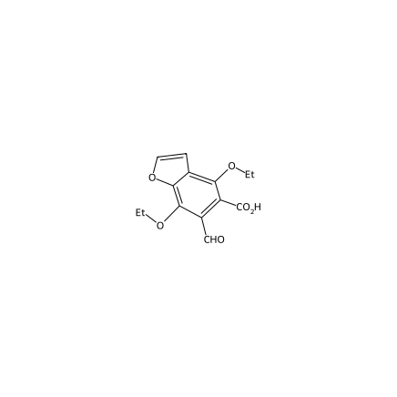 CCOc1c(C(=O)O)c(C=O)c(OCC)c2occc12